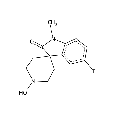 CN1C(=O)C2(CCN(O)CC2)c2cc(F)ccc21